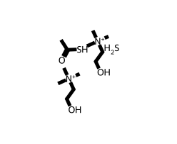 CC(=O)S.C[N+](C)(C)CCO.C[N+](C)(C)CCO.S